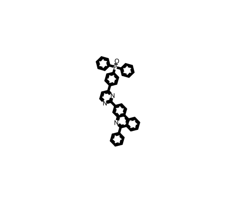 O=P(c1ccccc1)(c1ccccc1)c1ccc(-c2ccnc(-c3ccc4c(c3)nc(-c3ccccc3)c3ccccc34)n2)cc1